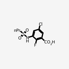 CCCS(=O)(=O)Nc1cc(Cl)cc(C(=O)O)c1F